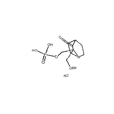 COCC1(COP(=O)(O)O)C(=O)C2CCN1CC2.Cl